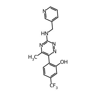 Cc1nc(NCc2cccnc2)nnc1-c1ccc(C(F)(F)F)cc1O